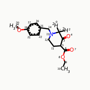 [2H]C1([2H])C(=O)C(C(=O)OCC)CCN1Cc1ccc(OC)cc1